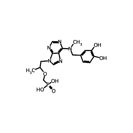 CC(Cn1cnc2c(N(C)Cc3ccc(O)c(O)c3)ncnc21)OCP(=O)(O)O